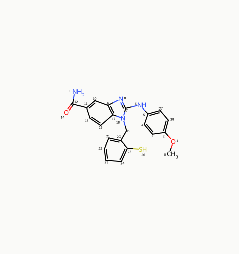 COc1ccc(Nc2nc3cc(C(N)=O)ccc3n2Cc2ccccc2S)cc1